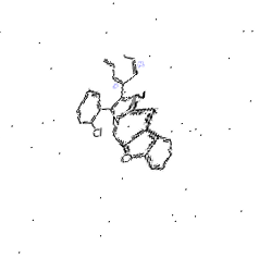 C=C/C=C(\C=C/C)c1nc2cc3c(cn2c1-c1ccccc1Cl)oc1ccccc13